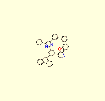 c1ccc(-c2cccc(-c3cc(-c4ccccc4)nc(-c4cc(-c5cc6ccccc6c6ccccc56)cc(-c5ccnc6c5oc5ccccc56)c4)n3)c2)cc1